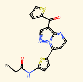 CC(C)CC(=O)Nc1ccc(-c2ccnc3c(C(=O)c4cccs4)cnn23)s1